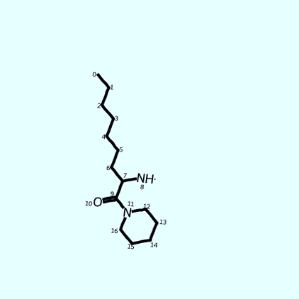 CCCCCCCC([NH])C(=O)N1CCCCC1